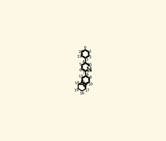 c1ccc(-c2ccc(-c3ccc4c(c3)C3CCC4CC3)nc2)cc1